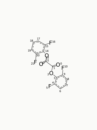 O=C(Oc1c(F)cccc1F)C(=O)Oc1c(F)cccc1F